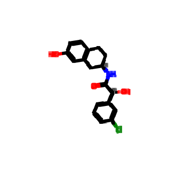 O=C(N[C@@H]1CCc2ccc(O)cc2C1)[C@H](O)c1cccc(Cl)c1